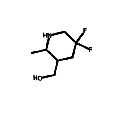 CC1NCC(F)(F)CC1CO